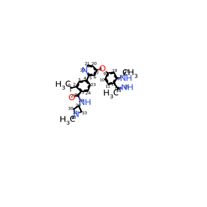 CCc1cc(-c2cc(Oc3ccc(C(C)=N)c(NC)c3)ccn2)ccc1C(=O)NC1CN(C)C1